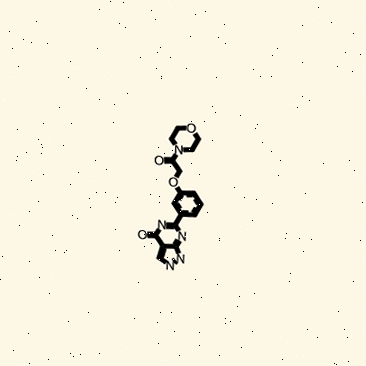 O=C1N=C(c2cccc(OCC(=O)N3CCOCC3)c2)N=C2N=NC=C12